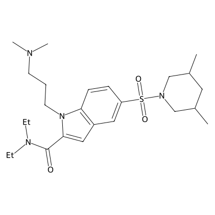 CCN(CC)C(=O)c1cc2cc(S(=O)(=O)N3CC(C)CC(C)C3)ccc2n1CCCN(C)C